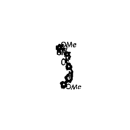 COc1ccccc1C1CCN(Cc2ccc(C(=O)N3CCc4ccc(NC(=O)c5c(OC)cccc5OC)cc43)cc2)CC1